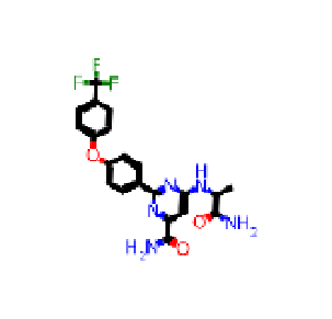 CC(Nc1cc(C(N)=O)nc(-c2ccc(Oc3ccc(C(F)(F)F)cc3)cc2)n1)C(N)=O